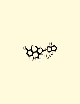 Cc1nc(N2C[C@H]3CCC[C@@]3(CN)C2)nc(C(N)=O)c1-c1cccc(Cl)c1Cl